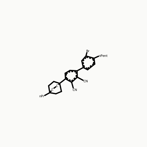 CCCCCc1ccc(-c2ccc(C34CCC(CCC)(CC3)CC4)c(C#N)c2C#N)cc1Br